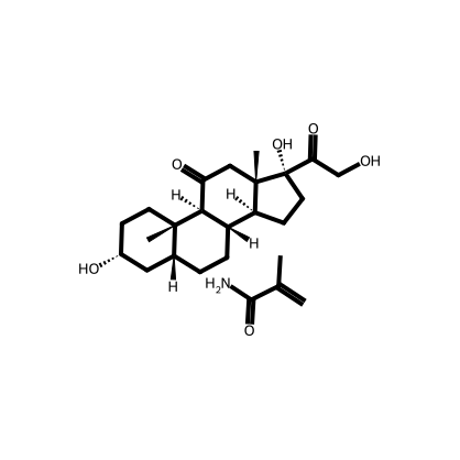 C=C(C)C(N)=O.C[C@]12CC[C@@H](O)C[C@H]1CC[C@@H]1[C@@H]2C(=O)C[C@@]2(C)[C@H]1CC[C@]2(O)C(=O)CO